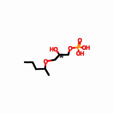 CCCC(C)OC[C@@H](O)COP(=O)(O)O